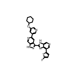 Fc1ccc(-c2cncc3[nH]c(-c4n[nH]c5cnc(-c6cncc(OC7CCCCC7)c6)cc45)nc23)s1